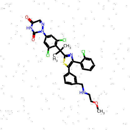 COCCNCc1cccc(-c2sc(C(C)(C)c3c(Cl)cc(-n4ncc(=O)[nH]c4=O)cc3Cl)nc2-c2ccccc2Cl)c1